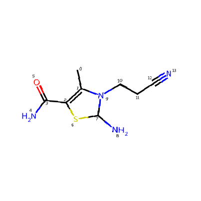 CC1=C(C(N)=O)SC(N)N1CCC#N